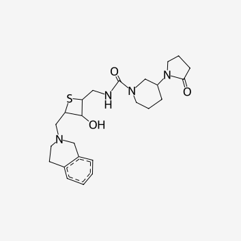 O=C(NCC1SC(CN2CCc3ccccc3C2)C1O)N1CCCC(N2CCCC2=O)C1